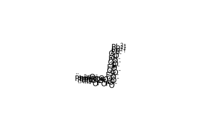 [O-][Si]([O-])([O-])F.[O-][Si]([O-])([O-])F.[O-][Si]([O-])([O-])F.[O-][Si]([O-])([O-])F.[O-][Si]([O-])([O-])F.[O-][Si]([O-])([O-])F.[Pb+2].[Pb+2].[Pb+2].[Pb+2].[Pb+2].[Pb+2].[Pb+2].[Pb+2].[Pb+2]